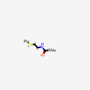 CSC(=O)NCCSC(C)C